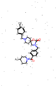 CC(=O)C1CCN(C(=O)c2ccc(CN3CC4(CCN(Cc5ccc(C(F)(F)F)cc5)CC4)OC3=O)cc2)CC1